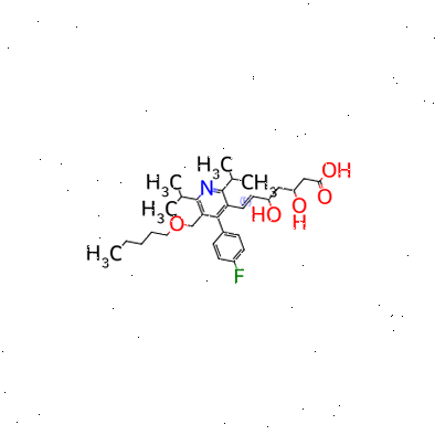 CCCCCOCc1c(C(C)C)nc(C(C)C)c(/C=C/C(O)CC(O)CC(=O)O)c1-c1ccc(F)cc1